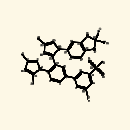 Cc1cn(-c2ccc(-c3cc(F)cc(S(C)(=O)=O)c3)cc2-c2nc(C)cn2-c2ccc3c(c2)OC(F)(F)O3)c(C)n1